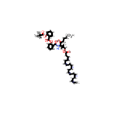 [2H]C([2H])([2H])C(=O)Oc1ccccc1C(=O)Oc1ccccc1C(=O)NC(C(=O)CCCC(=O)O)C(C)(C)COC(=O)C/C=C\C/C=C\C/C=C\C/C=C\C/C=C\C/C=C\CC